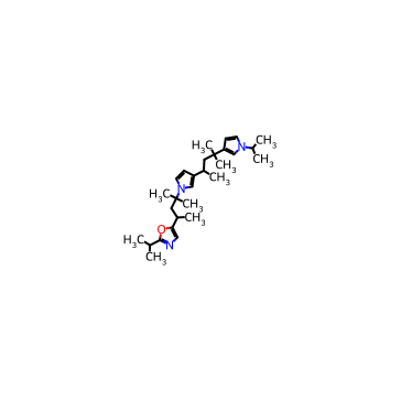 CC(C)c1ncc(C(C)CC(C)(C)n2ccc(C(C)CC(C)(C)c3ccn(C(C)C)c3)c2)o1